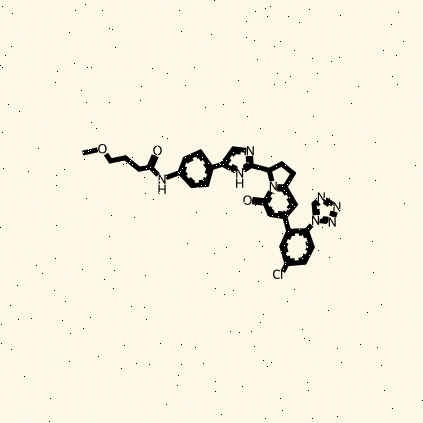 COCCCC(=O)Nc1ccc(-c2cnc(C3CCc4cc(-c5cc(Cl)ccc5-n5cnnn5)cc(=O)n43)[nH]2)cc1